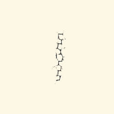 Cc1cc2oc3c4sc5cc6c(cc5c4n(C)c3c2s1)sc1c2oc3cc(C)sc3c2n(C)c61